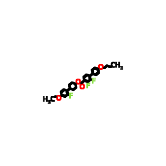 CCCCOc1ccc(-c2ccc(C(=O)OC3CCC(c4ccc(OCC)cc4F)CC3)c(F)c2F)cc1